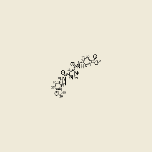 COC(=O)c1ccc(CNC(=O)c2cc(C(=O)NCc3ccc4c(c3)CCO4)ncn2)cc1